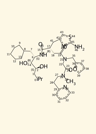 CC(C)C[C@H](O)[C@H](O)[C@H](CC1CCCCC1)NC(=O)[C@@H](CC(=O)N(CC(=O)N(C)CCc1ccccn1)Cc1ccco1)Cc1csc(N)n1